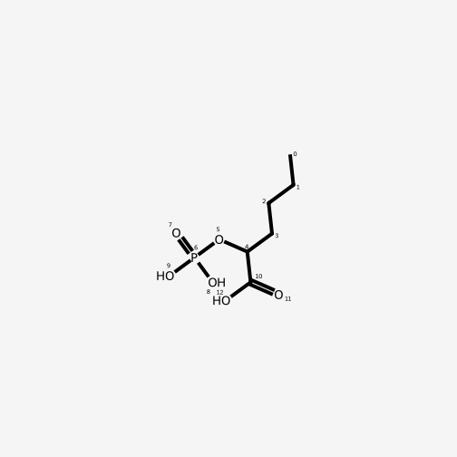 CCCCC(OP(=O)(O)O)C(=O)O